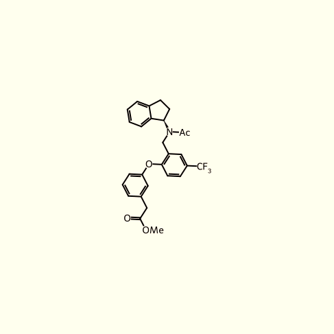 COC(=O)Cc1cccc(Oc2ccc(C(F)(F)F)cc2CN(C(C)=O)[C@@H]2CCc3ccccc32)c1